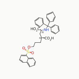 O=C(O)[C@@H](CCCOS(=O)(=O)c1cccc2ccccc12)C[C@H](NC(c1ccccc1)(c1ccccc1)c1ccccc1)C(=O)O